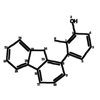 Cc1c(O)cccc1-c1cccc2c1Cc1ccccc1-2